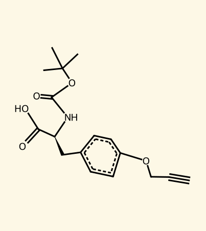 C#CCOc1ccc(C[C@H](NC(=O)OC(C)(C)C)C(=O)O)cc1